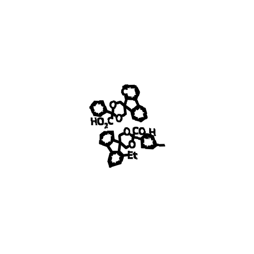 CCc1cccc2c1C1(COC(C(=O)O)(c3ccc(C)cc3)OC1)c1ccccc1-2.O=C(O)C1(c2ccccc2)OCC2(CO1)c1ccccc1-c1ccccc12